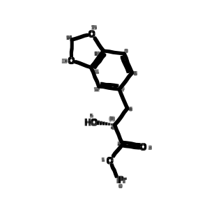 CC(C)OC(=O)[C@H](O)Cc1ccc2c(c1)OCO2